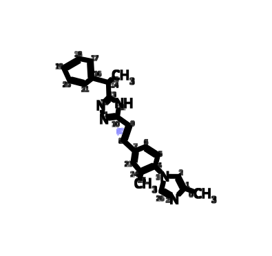 Cc1cn(-c2ccc(/C=C/c3nnc(C(C)c4ccccc4)[nH]3)cc2C)cn1